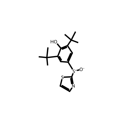 CC(C)(C)c1cc([S+]([O-])c2nccs2)cc(C(C)(C)C)c1O